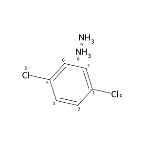 Clc1ccc(Cl)cc1.N.N